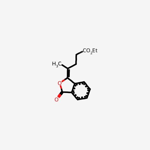 CCOC(=O)CCC(C)=C1OC(=O)c2ccccc21